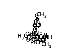 COC1CC(N2CCC[C@@]3(COc4nc(N5CCOC[C@@](C)(O)C5)c5c(OC(F)F)nc(-c6c(Cl)c(C)cc7[nH]ncc67)c(F)c5n4)CCC[C@@H]23)C1